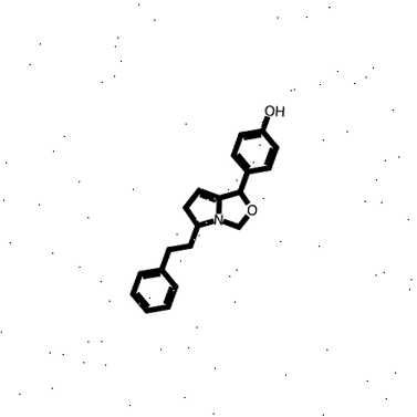 Oc1ccc(C2OCN3C2=CCC3CCc2ccccc2)cc1